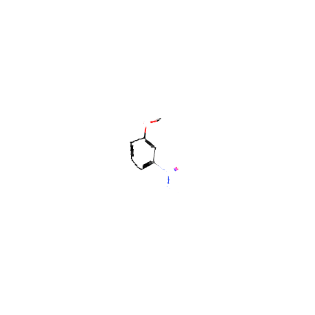 COc1[c]c([N+](N)=O)ccc1